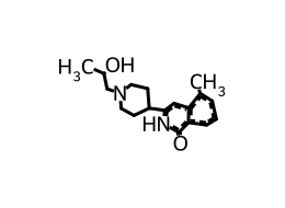 Cc1cccc2c(=O)[nH]c(C3CCN(CC(C)O)CC3)cc12